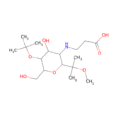 COC(C)(C)C1OC(CO)C(OC(C)(C)C)C(O)C1NCCC(=O)O